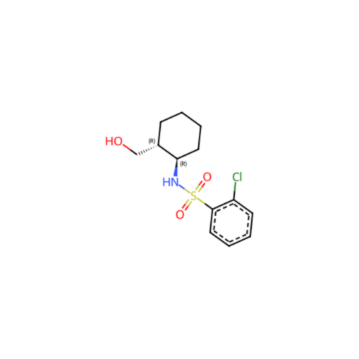 O=S(=O)(N[C@@H]1CCCC[C@H]1CO)c1ccccc1Cl